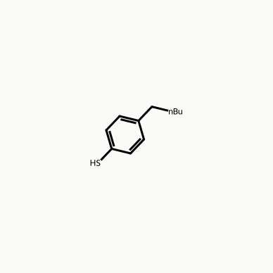 CCCCCc1ccc(S)cc1